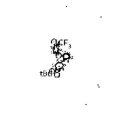 CC(C)(C)OC(=O)N1CC=C(c2ccccc2O[C@H]2CCN(C(=O)C(F)(F)F)C2)CC1